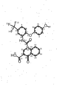 COc1ccc(Oc2ccc(C(F)(F)F)cc2NC(=O)n2cc(C(=O)O)c(=O)c3ccccc32)cc1